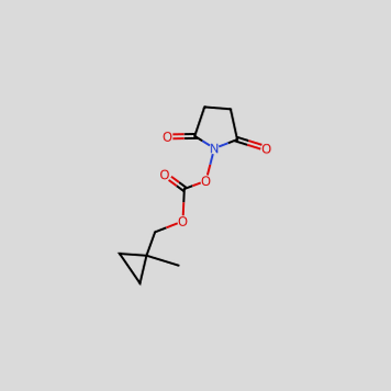 CC1(COC(=O)ON2C(=O)CCC2=O)CC1